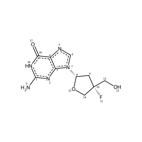 Nc1nc2c(ncn2[C@@H]2C[C@@](F)(CO)CO2)c(=O)[nH]1